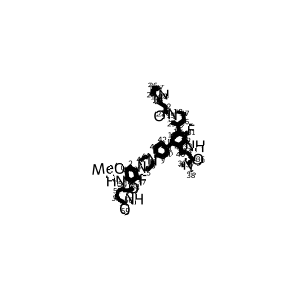 COc1cc(N2CCN(c3ccc(-c4cc(C5=CCCN(C(=O)CCn6cccn6)C5)c(F)c5[nH]c(C(=O)N(C)C)cc45)cc3)CC2)c(F)cc1N[C@H]1CCC(=O)NC1=O